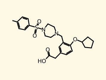 Cc1ccc(S(=O)(=O)N2CCN(Cc3cc(CC(=O)O)ccc3OC3CCCC3)CC2)cc1